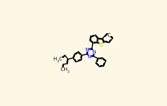 C=C/C=C(\C=C)c1ccc(-c2nc(-c3ccccc3)nc(-c3cccc4c3sc3ccccc34)n2)cc1